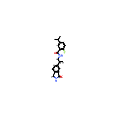 CC(C)c1ccc(F)c(C(=O)NCC(C)c2ccc3c(c2)C(=O)NC3)c1